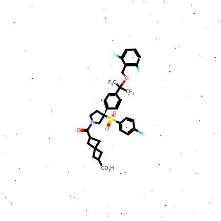 O=C(O)C1CC2(C1)CC(C(=O)N1CC[C@](c3ccc(C(OCc4c(F)cccc4F)(C(F)(F)F)C(F)(F)F)cc3)(S(=O)(=O)c3ccc(F)cc3)C1)C2